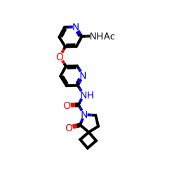 CC(=O)Nc1cc(Oc2ccc(NC(=O)N3CCC4(CCC4)C3=O)nc2)ccn1